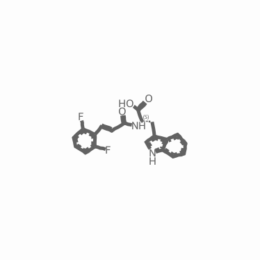 O=C(C=Cc1c(F)cccc1F)N[C@@H](Cc1c[nH]c2ccccc12)C(=O)O